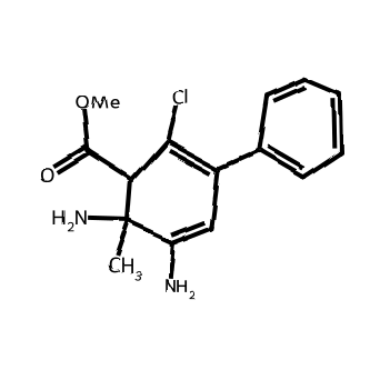 COC(=O)C1C(Cl)=C(c2ccccc2)C=C(N)C1(C)N